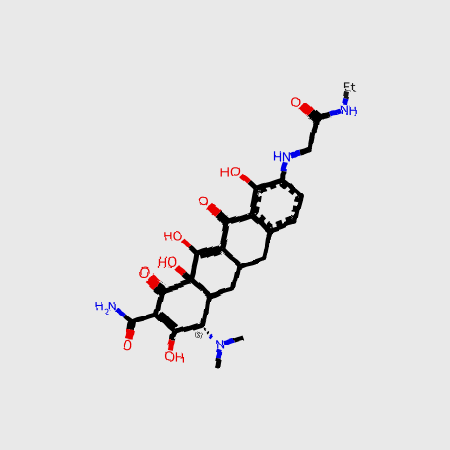 CCNC(=O)CNc1ccc2c(c1O)C(=O)C1=C(O)C3(O)C(=O)C(C(N)=O)=C(O)[C@@H](N(C)C)C3CC1C2